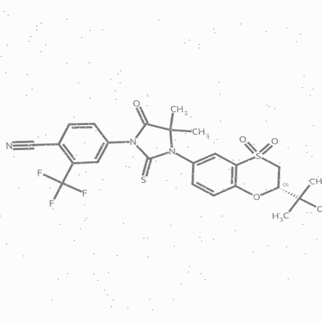 CC(C)(O)[C@H]1CS(=O)(=O)c2cc(N3C(=S)N(c4ccc(C#N)c(C(F)(F)F)c4)C(=O)C3(C)C)ccc2O1